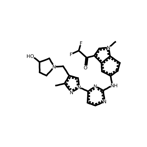 Cc1nn(-c2ccnc(Nc3ccc4c(c3)c(C(=O)C(F)F)cn4C)n2)cc1CN1CCC(O)C1